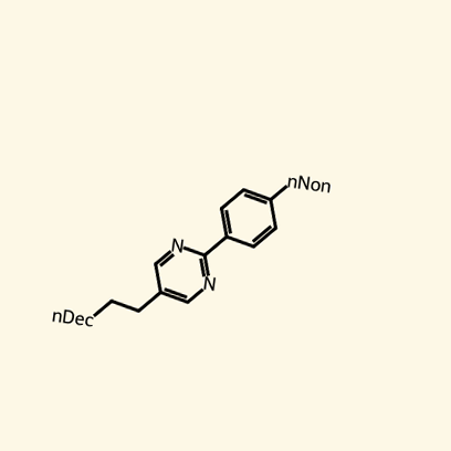 CCCCCCCCCCCCc1cnc(-c2ccc(CCCCCCCCC)cc2)nc1